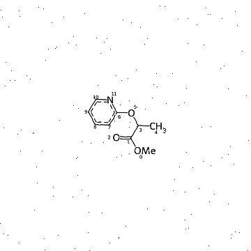 COC(=O)C(C)Oc1ccccn1